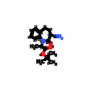 CC(C(=O)OC(C)(C)C)N1C(=O)C(N)CCc2ccccc21